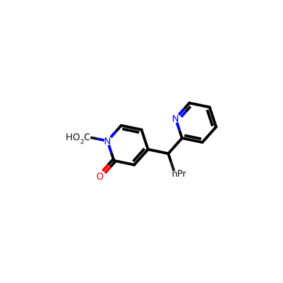 CCCC(c1ccn(C(=O)O)c(=O)c1)c1ccccn1